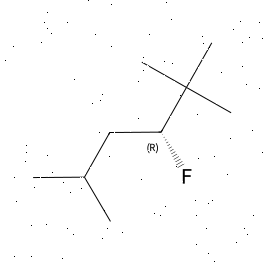 CC(C)C[C@@H](F)C(C)(C)C